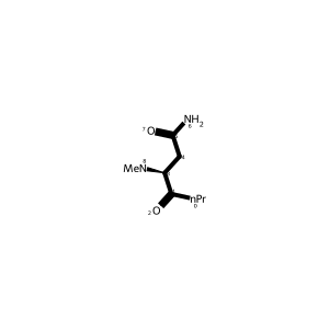 CCCC(=O)[C@H](CC(N)=O)NC